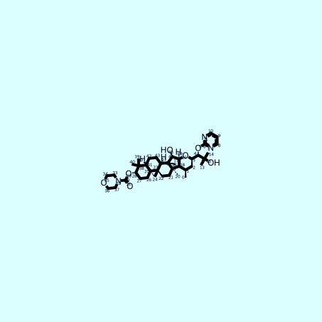 C[C@@H]1C[C@H]([C@H](Oc2ncccn2)C(C)(C)O)O[C@H]2C1[C@@]1(C)CC[C@@]34C[C@@]35CC[C@H](OC(=O)N3CCOCC3)C(C)(C)[C@@H]5CC[C@H]4[C@]1(C)[C@H]2O